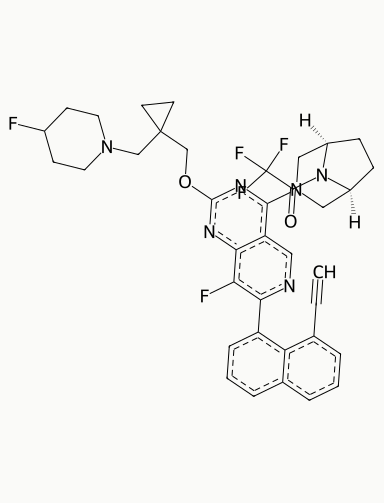 C#Cc1cccc2cccc(-c3ncc4c(N5C[C@H]6CC[C@@H](C5)N6C(=O)C(F)(F)F)nc(OCC5(CN6CCC(F)CC6)CC5)nc4c3F)c12